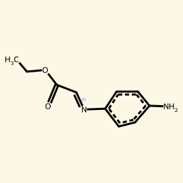 CCOC(=O)/C=N/c1ccc(N)cc1